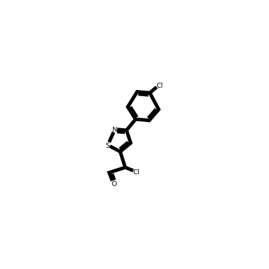 O=CC(Cl)c1cc(-c2ccc(Cl)cc2)ns1